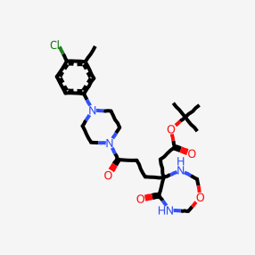 Cc1cc(N2CCN(C(=O)CCC3(CC(=O)OC(C)(C)C)NCOCNC3=O)CC2)ccc1Cl